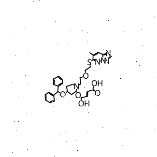 Cc1cc2ncnn2nc1SCCOCCN1CCC(OC(c2ccccc2)c2ccccc2)CC1.O=C(O)C=CC(=O)O